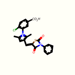 Cc1cc(C=C2SC(=O)N(c3ccccc3)C2=O)c(C)n1-c1cc(C(=O)O)ccc1Cl